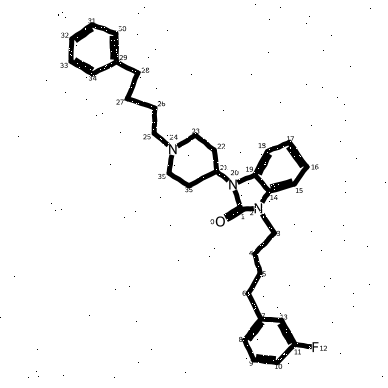 O=c1n(CCCCc2cccc(F)c2)c2ccccc2n1C1CCN(CCCCc2ccccc2)CC1